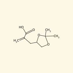 C=C(CC1COC(C)(C)O1)C(=O)O